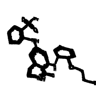 CC(C)CCOc1ccccc1Nc1nc(Nc2ccccc2S(=O)(=O)C(C)C)cc2cc[nH]c(=O)c12